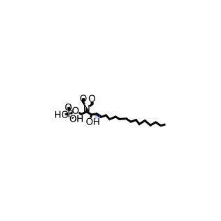 CCCCCCCCCCCCC/C=C/C(O)C(COP(=O)(O)O)N(C=O)C=O